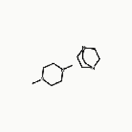 C1CN2CCN1CC2.CN1CCN(C)CC1